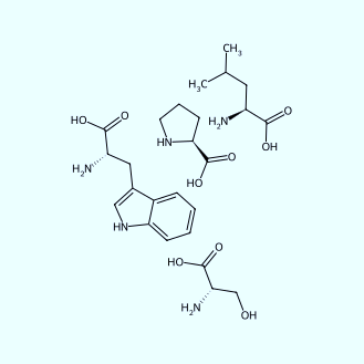 CC(C)C[C@H](N)C(=O)O.N[C@@H](CO)C(=O)O.N[C@@H](Cc1c[nH]c2ccccc12)C(=O)O.O=C(O)[C@@H]1CCCN1